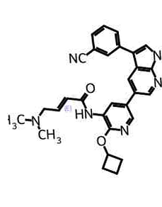 CN(C)C/C=C/C(=O)Nc1cc(-c2cnc3[nH]cc(-c4cccc(C#N)c4)c3c2)cnc1OC1CCC1